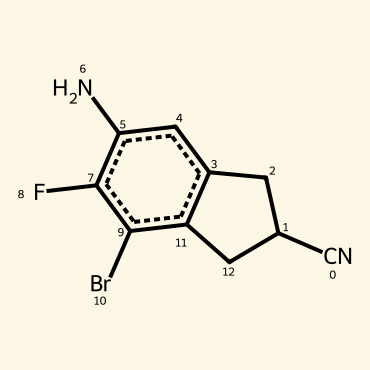 N#CC1Cc2cc(N)c(F)c(Br)c2C1